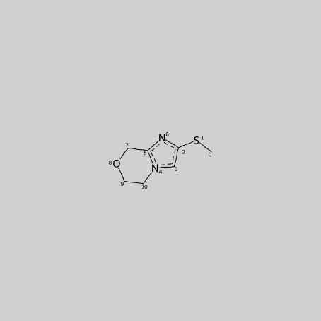 CSc1cn2c(n1)COCC2